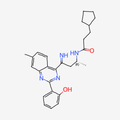 Cc1ccc2c(C(=N)C[C@@H](C)NC(=O)CCC3CCCC3)nc(-c3ccccc3O)nc2c1